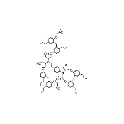 CCCc1ccc(OCC2CO2)c(Cc2cc(OCC(CO)N(CCc3ccc(N4C(CO)COc5ccc(CCC)cc5Cc5cc(CCC)ccc5OCC4CO)cc3)C(CO)COc3ccc(CCC)c(Cc4cc(CCC)ccc4OCC4CO4)c3)ccc2CCC)c1